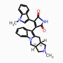 CN1C[C@H]2Cc3c(C4=C(c5cn(C)c6ccccc56)C(=O)NC4=O)c4ccccc4n3C[C@@H]2C1